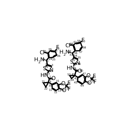 N[C@H](c1cnc(NC(=O)C2(c3ccc4c(c3)OC(F)(F)O4)CC2)s1)c1ccc(F)cc1Cl.N[C@H](c1cnc(NC(=O)C2(c3ccc4c(c3)OC(F)(F)O4)CC2)s1)c1ccc(F)cc1Cl